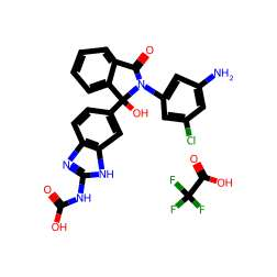 Nc1cc(Cl)cc(N2C(=O)c3ccccc3C2(O)c2ccc3nc(NC(=O)O)[nH]c3c2)c1.O=C(O)C(F)(F)F